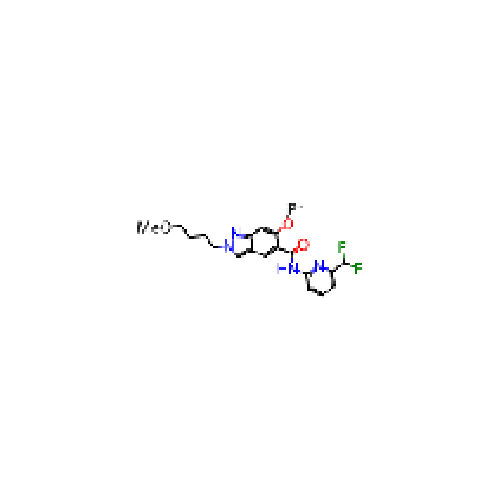 COCCCCn1cc2cc(C(=O)Nc3cccc(C(F)F)n3)c(OC(C)C)cc2n1